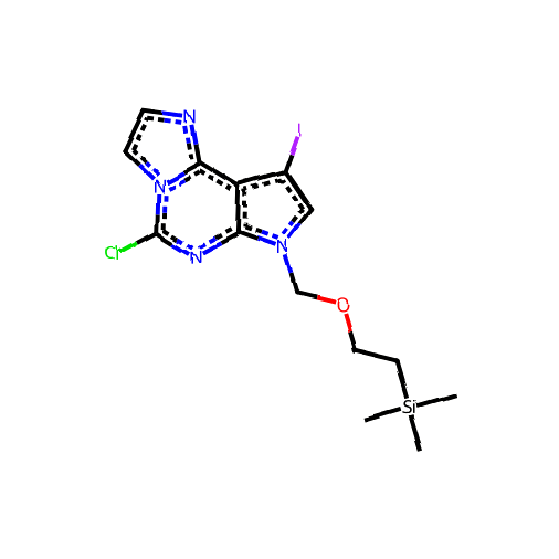 C[Si](C)(C)CCOCn1cc(I)c2c1nc(Cl)n1ccnc21